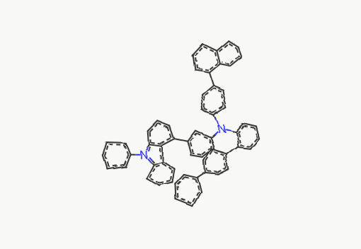 c1ccc(-c2ccc(-c3ccccc3N(c3ccc(-c4cccc5ccccc45)cc3)c3cccc(-c4cccc5c4c4ccccc4n5-c4ccccc4)c3)cc2)cc1